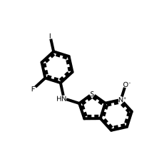 [O-][n+]1cccc2cc(Nc3ccc(I)cc3F)sc21